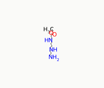 CCOC(=O)CCNCCCCNCCCN